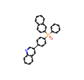 O=P(c1ccccc1)(c1ccc(-c2cnc3ccccc3c2)cc1)c1ccc2ccccc2c1